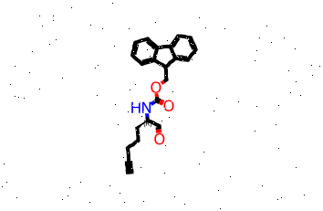 C#CCCC[C@H](C=O)NC(=O)OCC1c2ccccc2-c2ccccc21